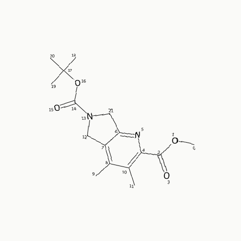 COC(=O)c1nc2c(c(C)c1C)CN(C(=O)OC(C)(C)C)C2